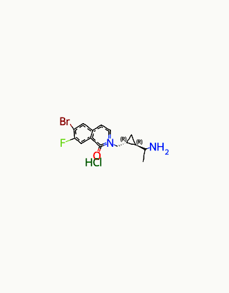 CC(N)[C@@H]1C[C@H]1Cn1ccc2cc(Br)c(F)cc2c1=O.Cl